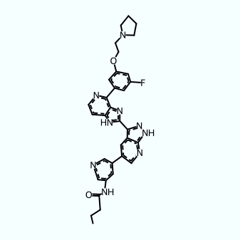 CCCC(=O)Nc1cncc(-c2cnc3[nH]nc(-c4nc5c(-c6cc(F)cc(OCCN7CCCC7)c6)nccc5[nH]4)c3c2)c1